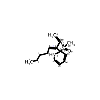 C=C/C(=C/CCCC)C1(S(C)(=O)=O)C=CC=CN1